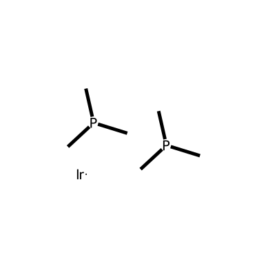 CP(C)C.CP(C)C.[Ir]